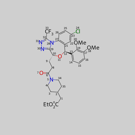 CCOC(=O)CC1CCN(C(=O)CC[C@H]2O[C@H](c3cccc(OC)c3OC)c3cc(Cl)ccc3-n3c2nnc3C(F)(F)F)CC1